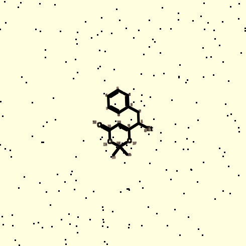 CCC(Cc1ccccc1)C1=CC(=O)OC(C)(C)O1